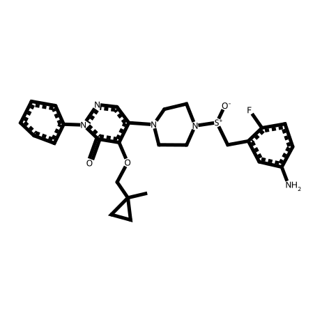 CC1(COc2c(N3CCN([S+]([O-])Cc4cc(N)ccc4F)CC3)cnn(-c3ccccc3)c2=O)CC1